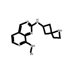 CC(C)Nc1nccc2cnc(NC3CC4(CCN4)C3)nc12